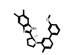 COc1cccc(C2[C]=C(N3CCC[C@@]3(C)c3nc4cc(C)c(C)cc4[nH]3)C(C)=CC2)c1